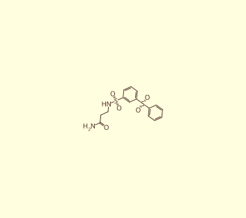 NC(=O)CCNS(=O)(=O)c1cccc(S(=O)(=O)c2ccccc2)c1